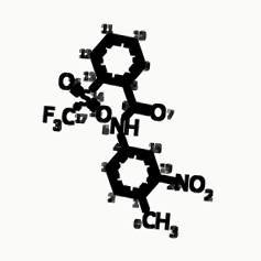 Cc1ccc(NC(=O)c2ccccc2S(=O)(=O)C(F)(F)F)cc1[N+](=O)[O-]